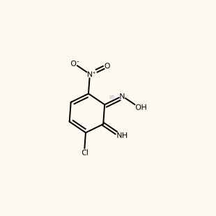 N=C1C(Cl)=CC=C([N+](=O)[O-])/C1=N/O